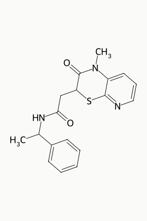 CC(NC(=O)CC1Sc2ncccc2N(C)C1=O)c1ccccc1